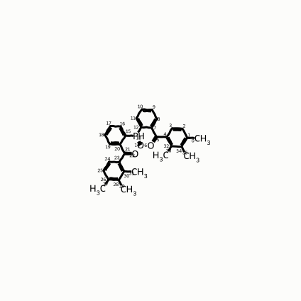 Cc1ccc(C(=O)c2ccccc2[PH](=O)c2ccccc2C(=O)c2ccc(C)c(C)c2C)c(C)c1C